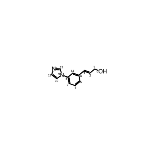 OCC=Cc1cccc(-n2ccnc2)c1